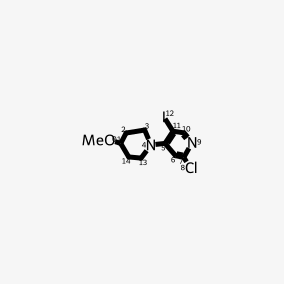 COC1CCN(c2cc(Cl)ncc2I)CC1